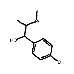 CNC(C)C(O)c1ccc(O)cc1